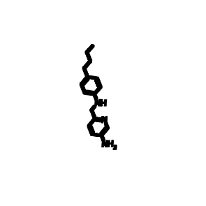 CCCCc1ccc(NCc2ccc(N)cn2)cc1